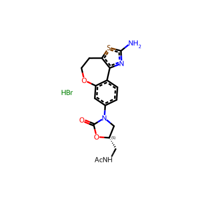 Br.CC(=O)NC[C@H]1CN(c2ccc3c(c2)OCCc2sc(N)nc2-3)C(=O)O1